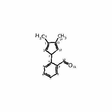 CC1=CC(c2ccccc2C=O)C=C1C